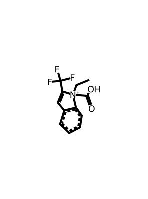 CC[N+]1(C(=O)O)C(C(F)(F)F)=Cc2ccccc21